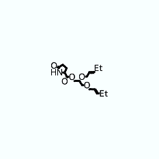 CCC=CCOCC(COC(=O)C1CCC(=O)N1)OCC=CCC